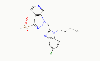 CS(=O)(=O)c1nn(Cc2nc3cc(Cl)ccc3n2CCCC(F)(F)F)c2cnccc12